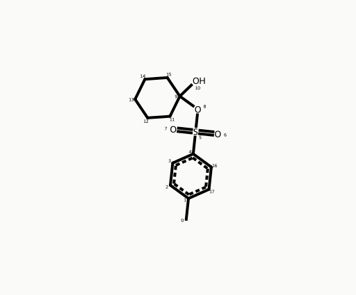 Cc1ccc(S(=O)(=O)OC2(O)CCCCC2)cc1